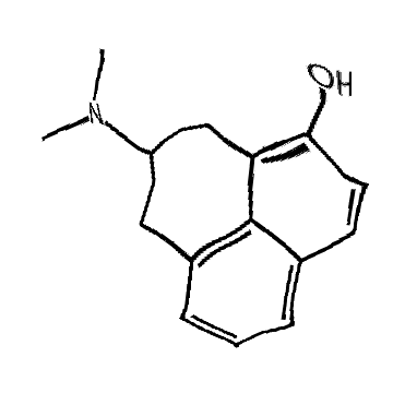 CN(C)C1Cc2cccc3ccc(O)c(c23)C1